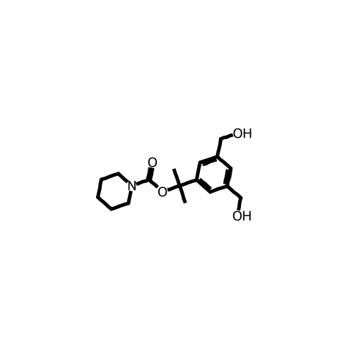 CC(C)(OC(=O)N1CCCCC1)c1cc(CO)cc(CO)c1